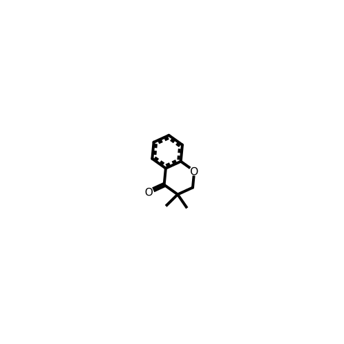 CC1(C)COc2ccccc2C1=O